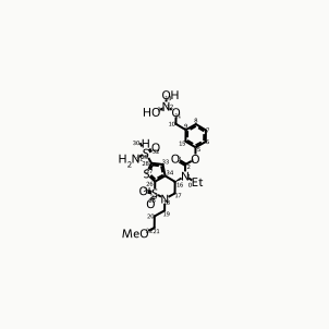 CCN(C(=O)Oc1cccc(CON(O)O)c1)[C@H]1CN(CCCOC)S(=O)(=O)c2sc([SH](C)(N)=O)cc21